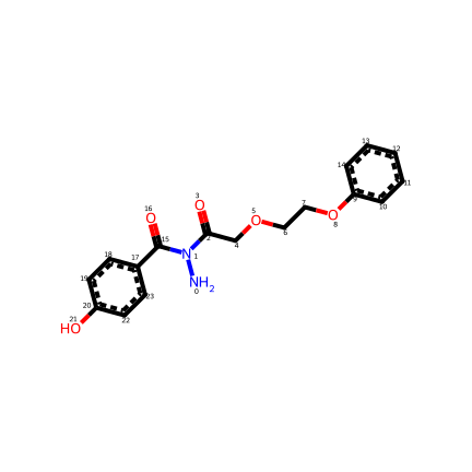 NN(C(=O)COCCOc1ccccc1)C(=O)c1ccc(O)cc1